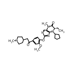 CC[C@@H]1C(=O)N(C)c2cnc(Oc3ccc(C(=O)CC4CCN(C)CC4)cc3OC)nc2N1C1CCCC1